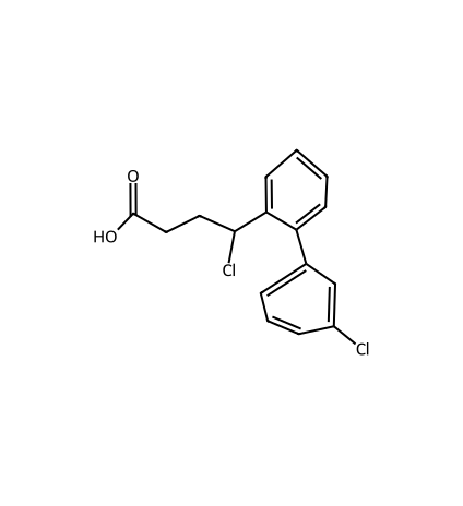 O=C(O)CCC(Cl)c1ccccc1-c1cccc(Cl)c1